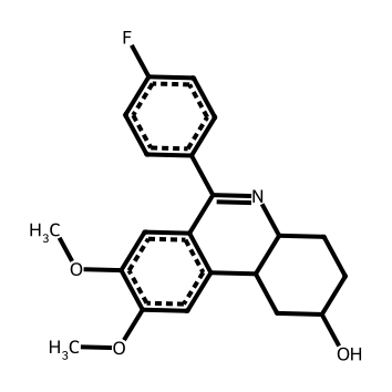 COc1cc2c(cc1OC)C1CC(O)CCC1N=C2c1ccc(F)cc1